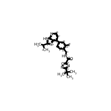 CC(C)c1nc2c(-c3ccc(CNC(=O)c4nc(C(C)(C)C)no4)c(F)c3)ccnc2[nH]1